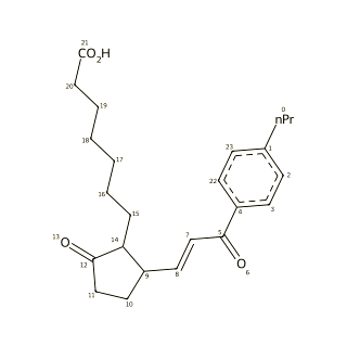 CCCc1ccc(C(=O)C=CC2CCC(=O)C2CCCCCCC(=O)O)cc1